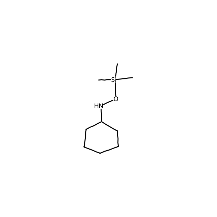 C[Si](C)(C)ONC1CCCCC1